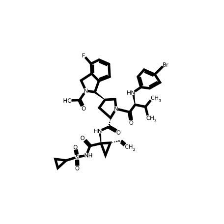 C=C[C@@H]1C[C@]1(NC(=O)[C@@H]1C[C@@H](C2c3cccc(F)c3CN2C(=O)O)CN1C(=O)[C@@H](Nc1ccc(Br)cc1)C(C)C)C(=O)NS(=O)(=O)C1CC1